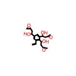 C=Cc1cc(C(O)CC2CO2)cc(C(O)CC2CO2)c1C(O)CC1CO1